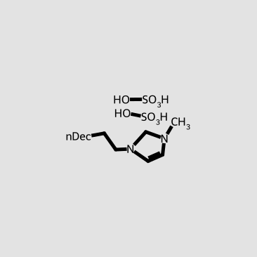 CCCCCCCCCCCCN1C=CN(C)C1.O=S(=O)(O)O.O=S(=O)(O)O